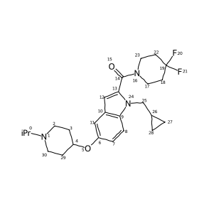 CC(C)N1CCC(Oc2ccc3c(c2)cc(C(=O)N2CCC(F)(F)CC2)n3CC2CC2)CC1